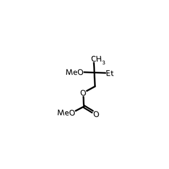 CCC(C)(COC(=O)OC)OC